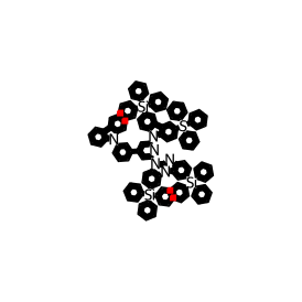 c1ccc([Si](c2ccccc2)(c2ccccc2)c2ccc3c(c2)c2cc(S(c4ccccc4)(c4ccccc4)c4ccccc4)ccc2n3-c2cc(-c3cccc(-n4c5ccccc5c5ccccc54)c3)cc(-n3c4ccc([Si](c5ccccc5)(c5ccccc5)c5ccccc5)cc4n4c5cc([Si](c6ccccc6)(c6ccccc6)c6ccccc6)ccc5nc34)n2)cc1